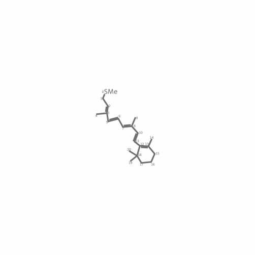 CSCC=C(C)C=CC=C(C)C=CC1=C(C)CCCC1(C)C